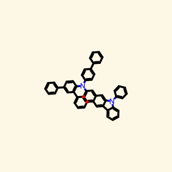 c1ccc(-c2ccc(N(c3ccc4cc5c6ccccc6n(-c6ccccc6)c5cc4c3)c3ccc(-c4ccccc4)cc3-c3ccccc3)cc2)cc1